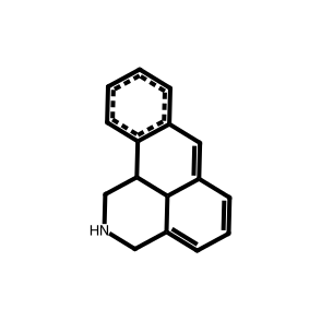 C1=CC2=Cc3ccccc3C3CNCC(=C1)C23